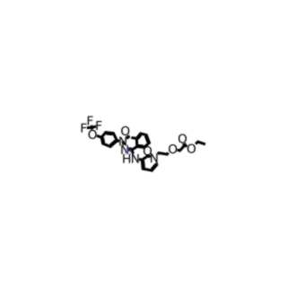 CCOC(=O)COCCn1cccc(N/C(=N/N(C=O)c2ccc(OC(F)(F)F)cc2)c2ccccc2C)c1=O